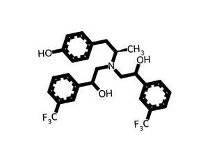 C[C@H](Cc1ccc(O)cc1)N(CC(O)c1cccc(C(F)(F)F)c1)CC(O)c1cccc(C(F)(F)F)c1